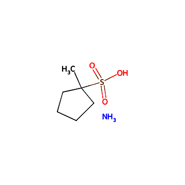 CC1(S(=O)(=O)O)CCCC1.N